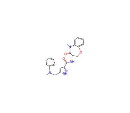 CN(Cc1cc(C(=O)N[C@H]2COc3ccccc3N(C)C2=O)n[nH]1)c1ccccc1